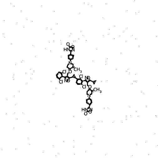 C[C@@H]1CN(c2ccc(-c3noc(=O)[nH]3)cc2)CC[C@H]1OCc1c(-c2c(Cl)cccc2Cl)noc1C1CC1c1ccc(Cl)c(-c2noc(C3CC3)c2CO[C@H]2CCN(c3ccc(-c4noc(=O)[nH]4)cc3)C[C@@H]2C)c1Cl